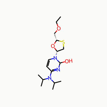 CCOC[C@H]1O[C@@H](N2C=CC(N(C(C)C)C(C)C)=NC2O)CS1